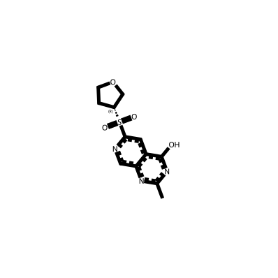 Cc1nc(O)c2cc(S(=O)(=O)[C@@H]3CCOC3)ncc2n1